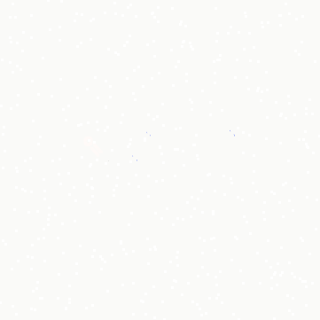 O=C1Cc2ccccc2N1Nc1ccncc1F